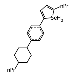 CCCC1=CC=C(c2ccc(C3CCC(CCC)CC3)cc2)[SeH2]1